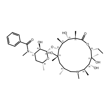 CC[C@H]1OC(=O)[C@H](C)[C@@H](O)[C@H](C)[C@@H](O[C@@H]2O[C@H](C)C[C@H](N(C)C(=O)c3ccccc3)[C@H]2O)[C@@](C)(O)C[C@@H](C)CN(C)[C@H](C)[C@@H](O)[C@]1(C)O